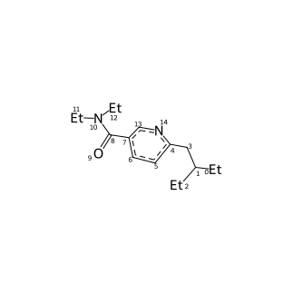 CCC(CC)Cc1ccc(C(=O)N(CC)CC)cn1